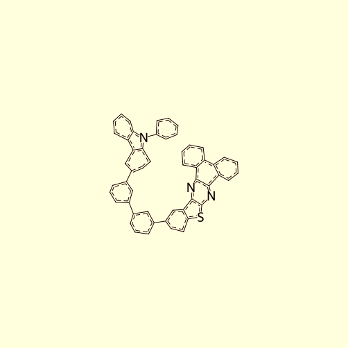 c1ccc(-n2c3ccccc3c3cc(-c4cccc(-c5cccc(-c6ccc7sc8nc9c%10ccccc%10c%10ccccc%10c9nc8c7c6)c5)c4)ccc32)cc1